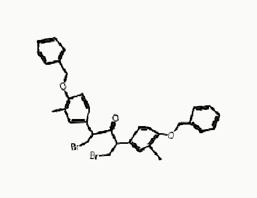 Cc1cc(C(CBr)C(=O)C(CBr)c2ccc(OCc3ccccc3)c(C)c2)ccc1OCc1ccccc1